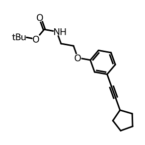 CC(C)(C)OC(=O)NCCOc1cccc(C#CC2CCCC2)c1